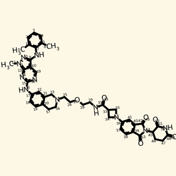 Cc1cccc(C)c1Nc1nn(C)c2nc(Nc3ccc4c(c3)CN(CCOCCNC(=O)C3CN(c5ccc6c(c5)C(=O)N(C5CCC(=O)NC5=O)C6=O)C3)CC4)ncc12